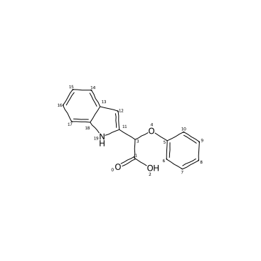 O=C(O)C(Oc1ccccc1)c1cc2ccccc2[nH]1